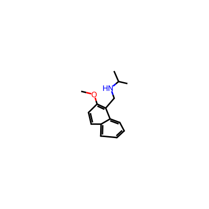 COc1ccc2ccccc2c1CNC(C)C